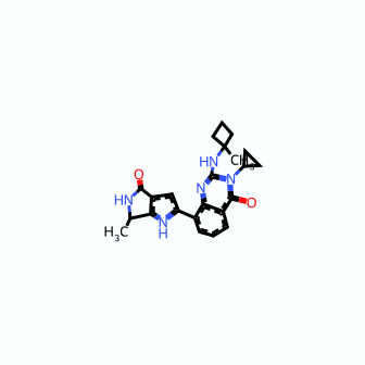 CC1NC(=O)c2cc(-c3cccc4c(=O)n(C5CC5)c(NC5(C)CCC5)nc34)[nH]c21